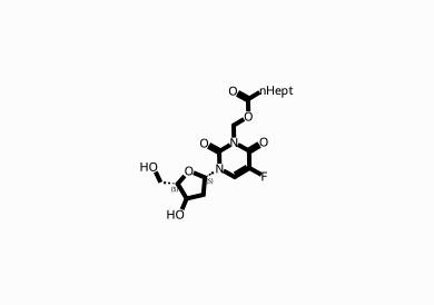 CCCCCCCC(=O)OCn1c(=O)c(F)cn([C@@H]2CC(O)[C@H](CO)O2)c1=O